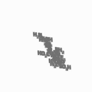 CC1(C)C(NC(=O)C(=NOC(COc2ccc(C(=N)NCCN)cc2)C(=O)O)c2nc(N)sc2C(F)(F)F)C(=O)N1S(=O)(=O)O